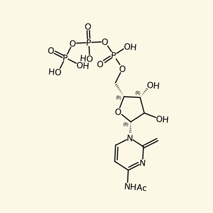 C=C1N=C(NC(C)=O)C=CN1[C@@H]1O[C@H](COP(=O)(O)OP(=O)(O)OP(=O)(O)O)[C@H](O)C1O